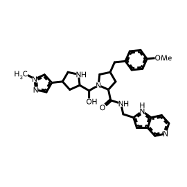 COc1ccc(CC2CC(C(=O)NCc3cc4cnccc4[nH]3)N(C(O)C3CC(c4cnn(C)c4)CN3)C2)cc1